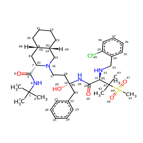 CC(C)(C)NC(=O)[C@@H]1C[C@@H]2CCCC[C@@H]2CN1CC[C@](O)(Cc1ccccc1)NC(=O)[C@@H](NCc1ccccc1Cl)C(C)(C)S(C)(=O)=O